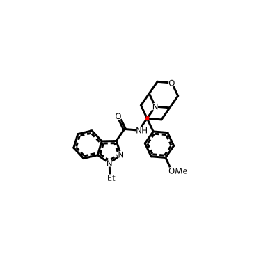 CCn1nc(C(=O)NC2CC3COCC(C2)N3Cc2ccc(OC)cc2)c2ccccc21